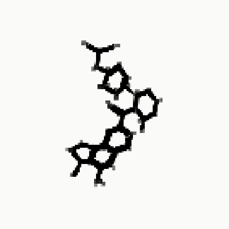 C[C@H]1OCc2c1c(N)nc1cnc(C(=O)N3[C@@H](C)COC[C@H]3C3=CC=C(OC(F)F)NN3)cc21